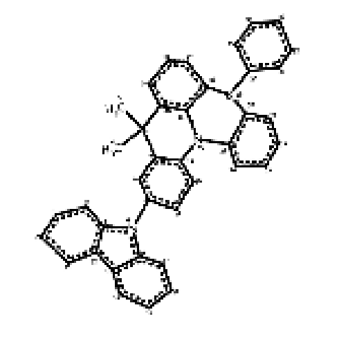 CC1(C)c2cc(-n3c4ccccc4c4ccccc43)ccc2N2c3ccccc3B(c3ccccc3)c3cccc1c32